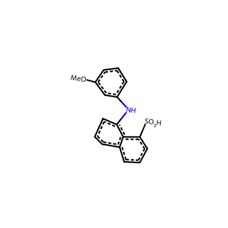 COc1cccc(Nc2cccc3cccc(S(=O)(=O)O)c23)c1